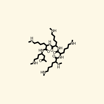 CNCCCCC(NC)C(=O)NC(CCCCNC)C(=O)NC(CCCCNC)C(=O)NC(CCCCNC)C(=O)NC(CCCNC)CC(C)=O